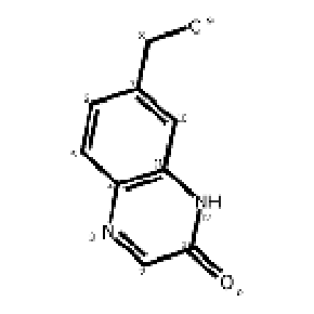 O=c1cnc2ccc(CCl)cc2[nH]1